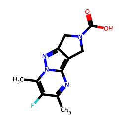 Cc1nc2c3c(nn2c(C)c1F)CN(C(=O)O)C3